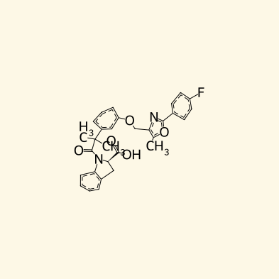 Cc1oc(-c2ccc(F)cc2)nc1COc1cccc(C(C)(C)C(=O)N2c3ccccc3C[C@@H]2C(=O)O)c1